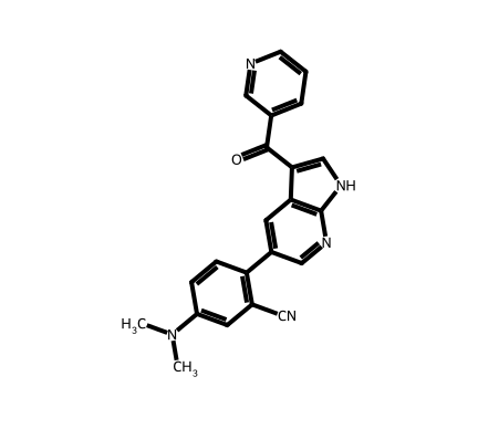 CN(C)c1ccc(-c2cnc3[nH]cc(C(=O)c4cccnc4)c3c2)c(C#N)c1